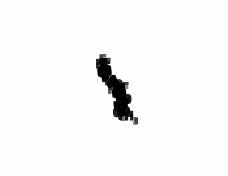 CS(=O)(=O)N1CCN(c2cc(F)c(OC3CN(Cc4ccc(C(F)(F)F)cc4)C3)c(F)c2)C(=O)C1